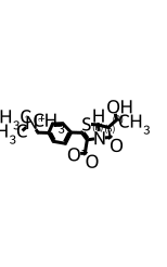 C[C@@H](O)[C@H]1C(=O)N2C(C(=O)[O-])=C(c3ccc(C[N+](C)(C)C)cc3)S[C@H]12